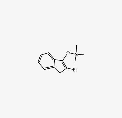 CCC1=C(O[Si](C)(C)C)c2ccccc2C1